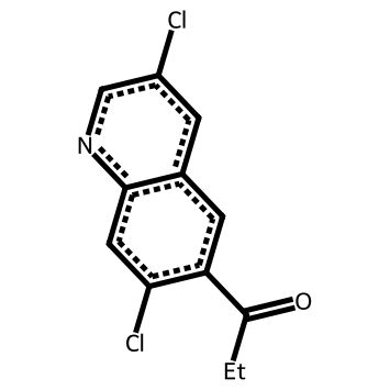 CCC(=O)c1cc2cc(Cl)cnc2cc1Cl